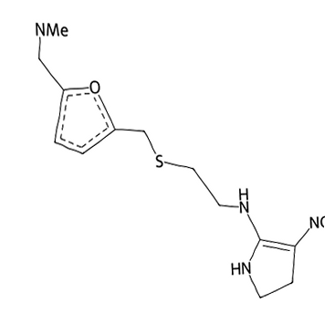 CNCc1ccc(CSCCNC2=C([N+](=O)[O-])CCN2)o1